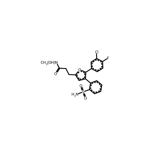 CN(O)C(=O)CCc1cc(-c2ccccc2S(N)(=O)=O)c(-c2ccc(F)c(Cl)c2)o1